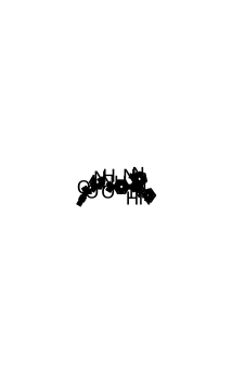 CC#CC(=O)Oc1ccnc(NC(=O)c2ccc(-c3nc([C@@H]4CCCN4)n4ccnc(N)c34)cc2)c1